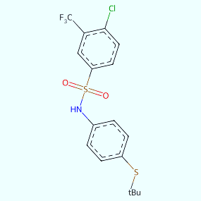 CC(C)(C)Sc1ccc(NS(=O)(=O)c2ccc(Cl)c(C(F)(F)F)c2)cc1